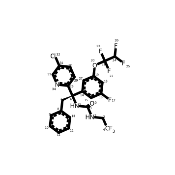 O=C(NCC(F)(F)F)N[C@@](Cc1ccccc1)(c1cc(F)cc(OC(F)(F)C(F)F)c1)c1ccc(Cl)cn1